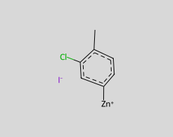 Cc1cc[c]([Zn+])cc1Cl.[I-]